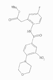 CC(C)(C)OC(=O)Cc1cc(F)ccc1NC(=O)c1ccc(N2CCOCC2)c([N+](=O)[O-])c1